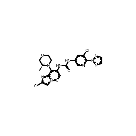 C[C@H]1COCCN1c1c(NC(=O)Nc2cnc(-n3nccn3)c(Cl)c2)cnn2cc(Cl)nc12